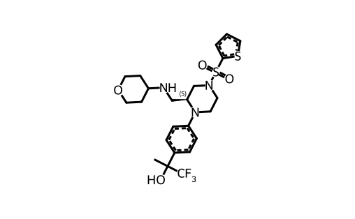 CC(O)(c1ccc(N2CCN(S(=O)(=O)c3cccs3)C[C@@H]2CNC2CCOCC2)cc1)C(F)(F)F